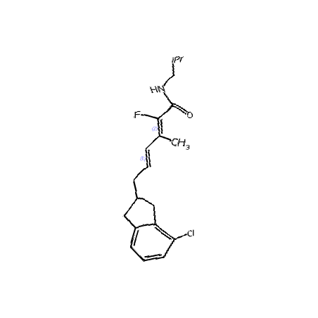 CC(/C=C/CC1Cc2cccc(Cl)c2C1)=C(/F)C(=O)NCC(C)C